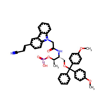 COc1ccc(C(OC[C@@H](NC(=O)Cn2c3ccccc3c3cc(/C=C/C#N)ccc32)[C@@H](C)O[PH](=O)O)(c2ccccc2)c2ccc(OC)cc2)cc1